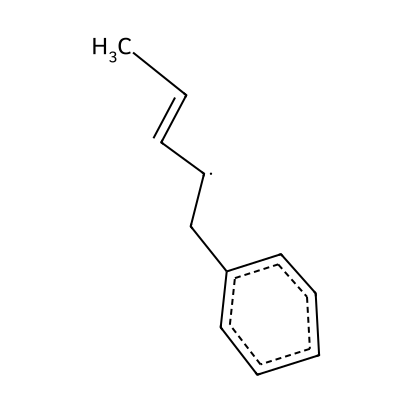 CC=C[CH]Cc1ccccc1